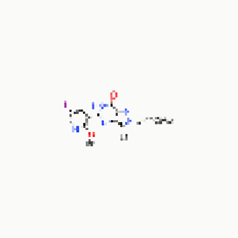 CCCCOc1ncc(I)cc1-c1nc2c(CC)n(CCOC)nc2c(=O)[nH]1